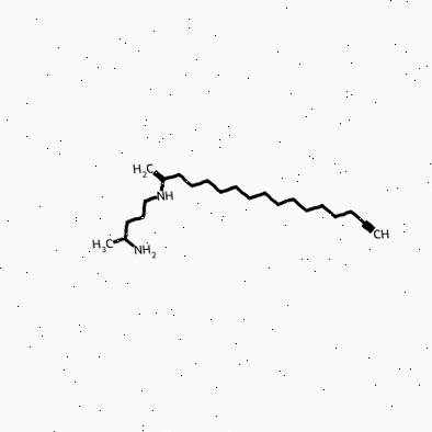 C#CCCCCCCCCCCCCCC(=C)NCCCC(C)N